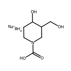 O=C(O)N1CCC(O)C(CO)C1.[BH4-].[Na+]